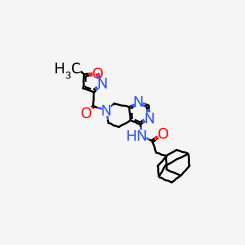 Cc1cc(C(=O)N2CCc3c(ncnc3NC(=O)CC34CC5CC(CC(C5)C3)C4)C2)no1